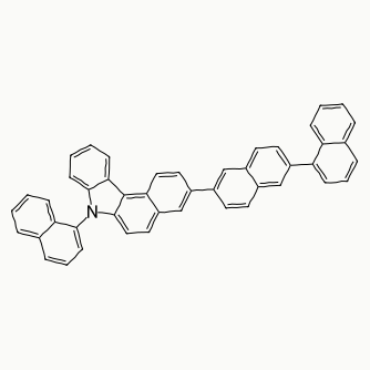 c1ccc2c(-c3ccc4cc(-c5ccc6c(ccc7c6c6ccccc6n7-c6cccc7ccccc67)c5)ccc4c3)cccc2c1